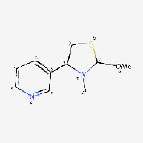 COC1SCC(c2cccnc2)N1C